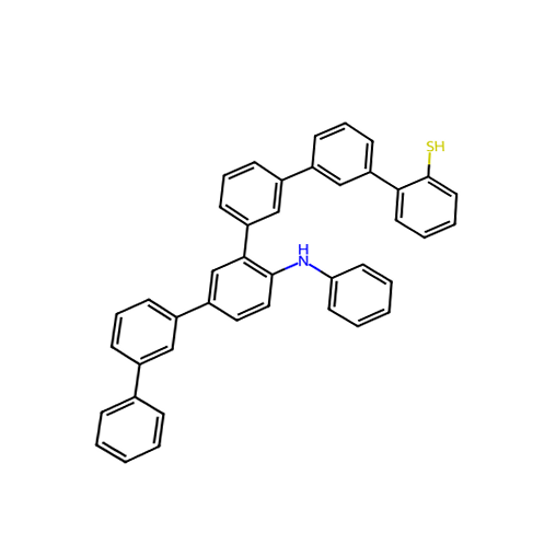 Sc1ccccc1-c1cccc(-c2cccc(-c3cc(-c4cccc(-c5ccccc5)c4)ccc3Nc3ccccc3)c2)c1